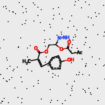 CC(=O)CC(=O)OC(COC(=O)C(C)=Cc1ccc(O)cc1)N=N